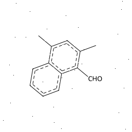 Cc1cc(C)c2ccccc2c1C=O